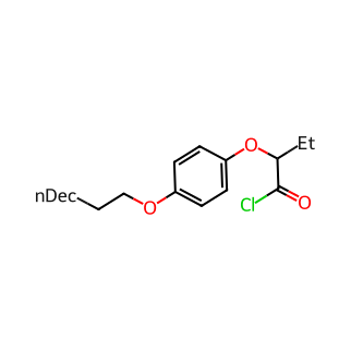 CCCCCCCCCCCCOc1ccc(OC(CC)C(=O)Cl)cc1